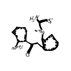 NC(=S)Nc1ccccc1C(=O)c1ccccc1N